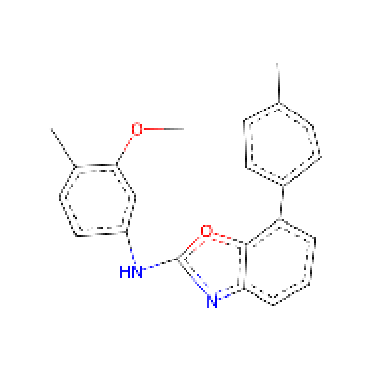 COc1cc(Nc2nc3cccc(-c4ccc(C)cc4)c3o2)ccc1C